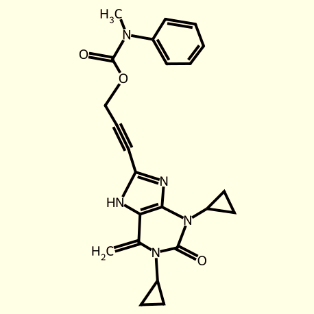 C=C1c2[nH]c(C#CCOC(=O)N(C)c3ccccc3)nc2N(C2CC2)C(=O)N1C1CC1